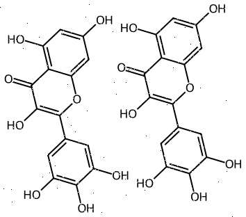 O=c1c(O)c(-c2cc(O)c(O)c(O)c2)oc2cc(O)cc(O)c12.O=c1c(O)c(-c2cc(O)c(O)c(O)c2)oc2cc(O)cc(O)c12